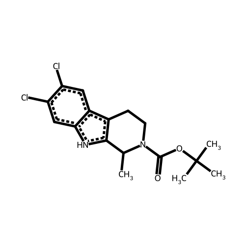 CC1c2[nH]c3cc(Cl)c(Cl)cc3c2CCN1C(=O)OC(C)(C)C